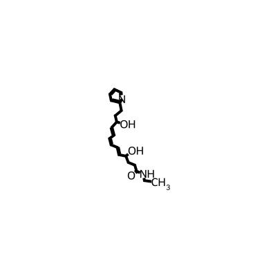 CCNC(=O)CCC(O)/C=C/C=C\C=C\C(O)CCc1ccccn1